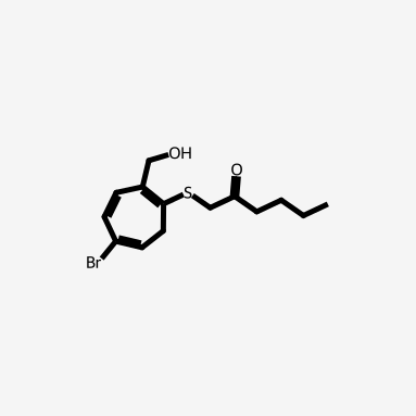 CCCCC(=O)CSC1=C(CO)C=CC(Br)=CC1